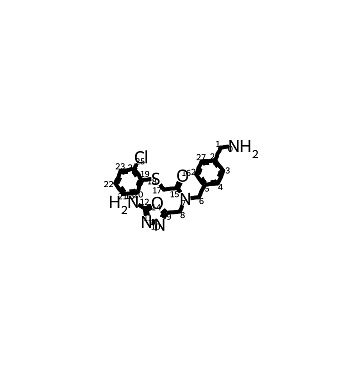 NCc1ccc(CN(Cc2nnc(N)o2)C(=O)CSc2ccccc2Cl)cc1